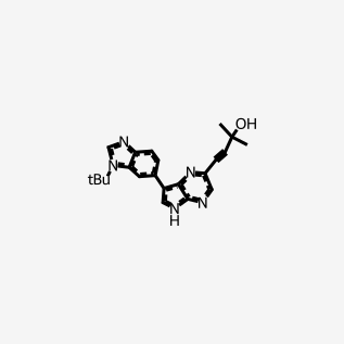 CC(C)(O)C#Cc1cnc2[nH]cc(-c3ccc4ncn(C(C)(C)C)c4c3)c2n1